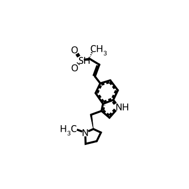 C[C@H](C=Cc1ccc2[nH]cc(C[C@H]3CCCN3C)c2c1)[SH](=O)=O